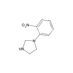 O=[N+]([O-])c1ccccc1N1CCNC1